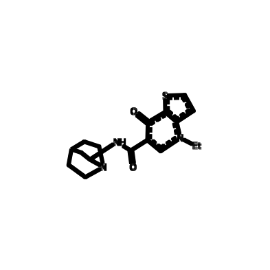 CCn1cc(C(=O)NC2CC3CCN2CC3)c(=O)c2sccc21